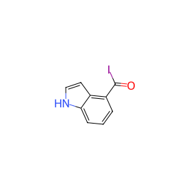 O=C(I)c1cccc2[nH]ccc12